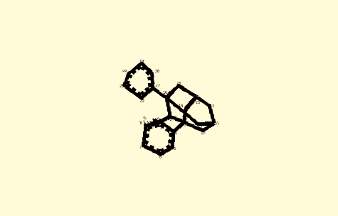 C#CC1C2(c3ccccc3)CC3CC(C2)CC1(c1ccccc1)C3